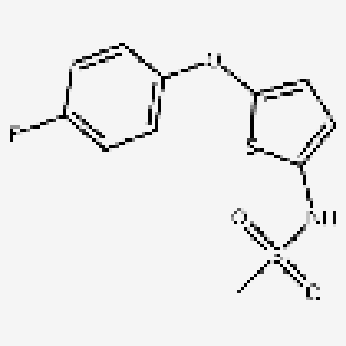 CS(=O)(=O)Nc1ccc(Oc2ccc(F)cc2)s1